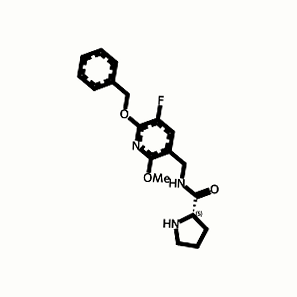 COc1nc(OCc2ccccc2)c(F)cc1CNC(=O)[C@@H]1CCCN1